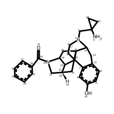 NC1(CN2CCC34c5cc(O)ccc5CC2C32CCC3C4[C@@H](CN3C(=O)c3ccccc3)C2)CC1